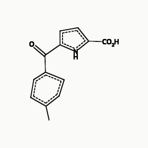 Cc1ccc(C(=O)c2ccc(C(=O)O)[nH]2)cc1